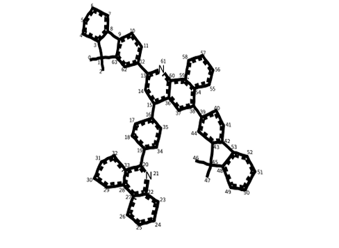 CC1(C)c2ccccc2-c2ccc(-c3cc(-c4ccc(-c5nc6ccccc6c6ccccc56)cc4)c4cc(-c5ccc6c(c5)C(C)(C)c5ccccc5-6)c5ccccc5c4n3)cc21